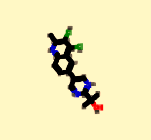 Cc1nc2ccc(-c3cnc(C(C)(C)O)nc3)cc2c(Cl)c1Cl